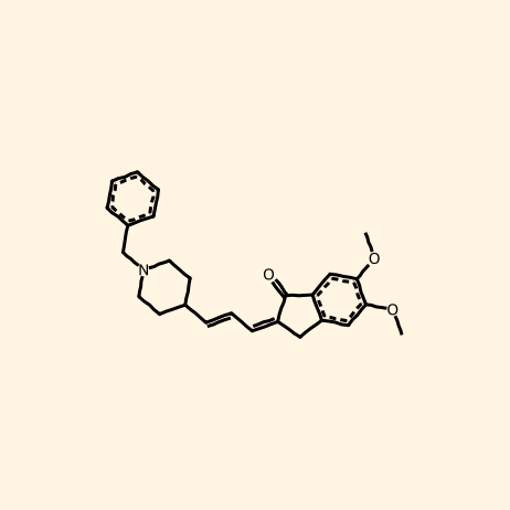 COc1cc2c(cc1OC)C(=O)C(=CC=CC1CCN(Cc3ccccc3)CC1)C2